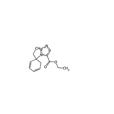 CCOC(=O)c1cncn1C1(CC)C=CC=CC1